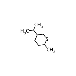 CC1CCC(C(C)C)CS1